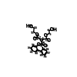 O=C(OCCO)C1C(C(=O)OCCO)C1P1(=O)Oc2ccccc2-c2ccccc21